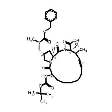 CC1/C=C\CCCCC[C@@H](NC(=O)OC(C)(C)C)C(=O)N2C[C@H](CN(C)C(=O)OCc3ccccc3)C[C@H]2C(=O)N[C@@]1(C)C(=O)O